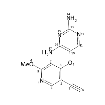 C#Cc1cnc(OC)cc1Oc1cnc(N)nc1N